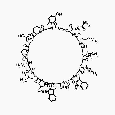 CCCC[C@H]1C(=O)N(C)[C@@H](CCC)C(=O)N[C@@H](CCCN)C(=O)N[C@H](C(=O)NCC(N)=O)CSCC(=O)N[C@@H](Cc2ccc(O)cc2)C(=O)N2CCCC[C@H]2C(=O)N[C@@H](CC(=O)O)C(=O)N2CCC[C@H]2C(=O)N[C@@H](CN)C(=O)N[C@@H](CC(C)C)C(=O)N2C[C@H](O)C[C@H]2C(=O)N[C@@H](Cc2c[nH]c3ccccc23)C(=O)N[C@@H](CO)C(=O)N[C@@H](Cc2c[nH]c3ccccc23)C(=O)N1C